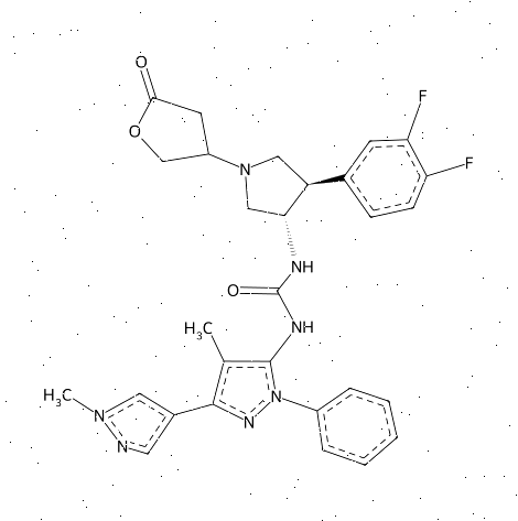 Cc1c(-c2cnn(C)c2)nn(-c2ccccc2)c1NC(=O)N[C@@H]1CN(C2COC(=O)C2)C[C@H]1c1ccc(F)c(F)c1